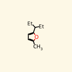 CCC(CC)c1ccc(C)o1